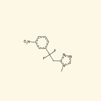 Cn1cnnc1CC(F)(F)c1cccc([N+](=O)[O-])c1